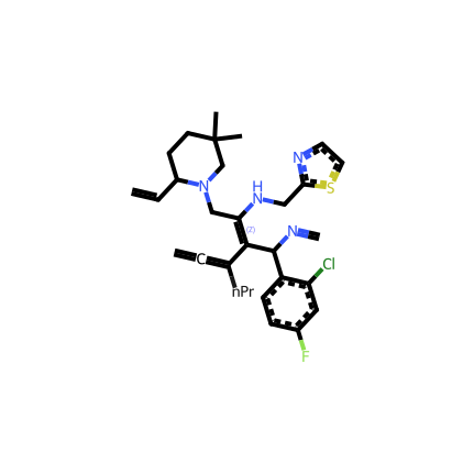 C=C=C(CCC)/C(=C(\CN1CC(C)(C)CCC1C=C)NCc1nccs1)C(N=C)c1ccc(F)cc1Cl